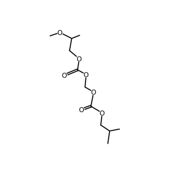 COC(C)COC(=O)OCOC(=O)OCC(C)C